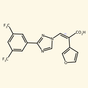 O=C(O)/C(=C/n1cnc(-c2cc(C(F)(F)F)cc(C(F)(F)F)c2)n1)c1ccoc1